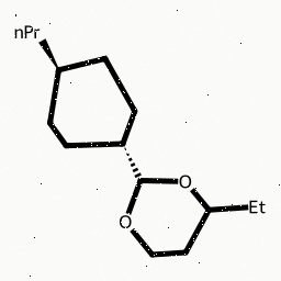 CCC[C@H]1CC[C@H](C2OCCC(CC)O2)CC1